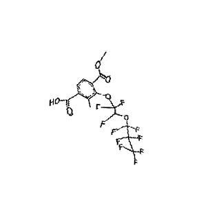 COC(=O)c1ccc(C(=O)O)c(C)c1OC(F)(F)C(F)OC(F)(F)C(F)(F)C(F)(F)F